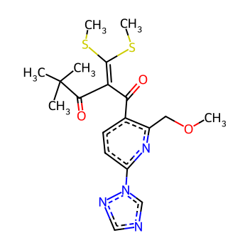 COCc1nc(-n2cncn2)ccc1C(=O)C(C(=O)C(C)(C)C)=C(SC)SC